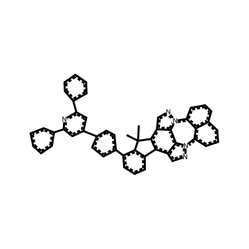 CC1(C)c2c(-c3ccc(-c4cc(-c5ccccc5)nc(-c5ccccc5)c4)cc3)cccc2-c2c1c1cnn3c4cccc5cccc(c54)n4ncc2c4c13